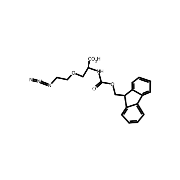 [N-]=[N+]=NCCOC[C@H](NC(=O)OCC1c2ccccc2-c2ccccc21)C(=O)O